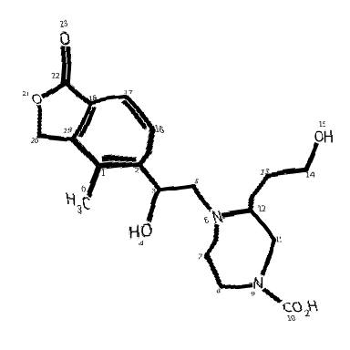 Cc1c(C(O)CN2CCN(C(=O)O)CC2CCO)ccc2c1COC2=O